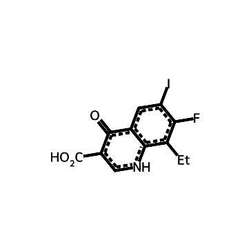 CCc1c(F)c(I)cc2c(=O)c(C(=O)O)c[nH]c12